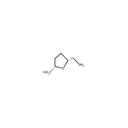 NC[C@H]1CC[C@@H](C(=O)O)O1